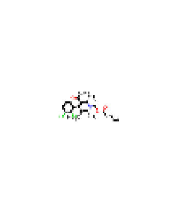 [2H]CCCC(=O)OCN1C(C)=C(C(=O)O)C(c2cccc(Cl)c2Cl)=C(C(=O)OC)C1C